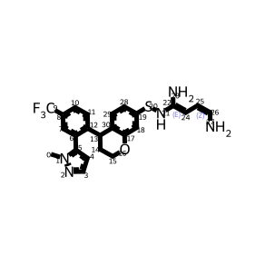 Cn1nccc1-c1cc(C(F)(F)F)ccc1C1CCOc2cc(SN/C(N)=C/C=C\N)ccc21